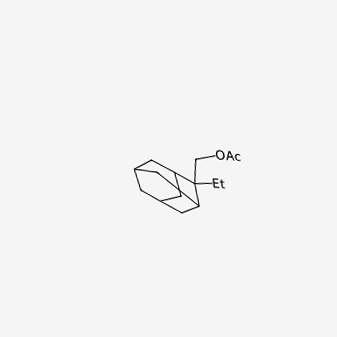 CCC1(COC(C)=O)C2CC3CC(C2)CC1C3